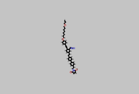 C=CCOCCCCCCCCOc1ccc(C#Cc2ccc(/C=C/c3ccc(-c4ccc(CCN5C(=O)C=CC5=O)cc4)cc3)cc2C=N)cc1